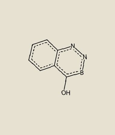 Oc1bnnc2ccccc12